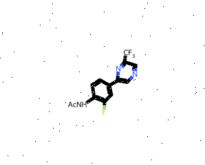 CC(=O)Nc1ccc(-c2cncc(C(F)(F)F)n2)cc1F